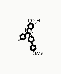 COc1ccc(C2CCN(c3nc4ccc(C(=O)O)cc4nc3-c3ccc(F)cc3)CC2)cc1